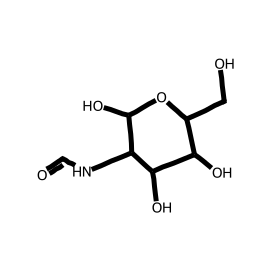 O=CNC1C(O)OC(CO)C(O)C1O